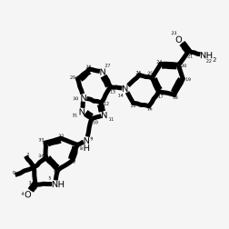 CC1(C)C(=O)Nc2cc(Nc3nc4c(N5CCc6ccc(C(N)=O)cc6C5)nccn4n3)ccc21